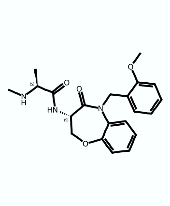 CN[C@@H](C)C(=O)N[C@H]1COc2ccccc2N(Cc2ccccc2OC)C1=O